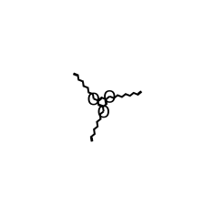 C=CCCCCCCOc1cc(OCCCCCCC=C)cc(OCCCCCCC=C)c1